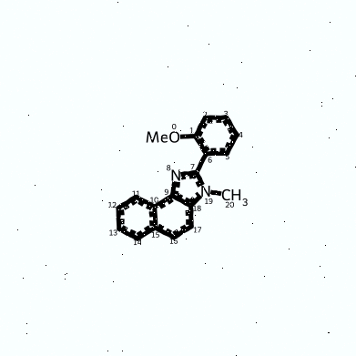 COc1ccccc1-c1nc2c3ccccc3ccc2n1C